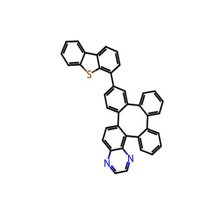 c1ccc2c(c1)-c1cc(-c3cccc4c3sc3ccccc34)ccc1-c1ccc3nccnc3c1-c1ccccc1-2